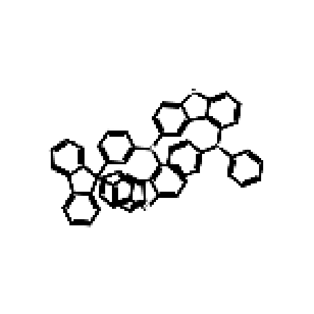 c1ccc(N(c2ccccc2)c2cccc3oc4ccc(N(c5cccc(C6(c7ccccc7)c7ccccc7-c7ccccc76)c5)c5cccc6oc7ccccc7c56)cc4c23)cc1